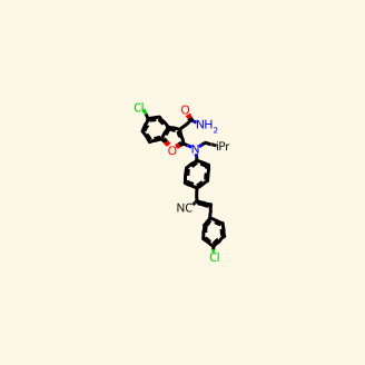 CC(C)CN(c1ccc(/C(C#N)=C/c2ccc(Cl)cc2)cc1)c1oc2ccc(Cl)cc2c1C(N)=O